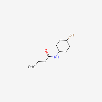 O=CCCC(=O)NC1CCC(S)CC1